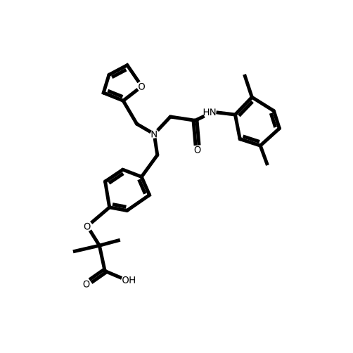 Cc1ccc(C)c(NC(=O)CN(Cc2ccc(OC(C)(C)C(=O)O)cc2)Cc2ccco2)c1